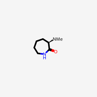 CN[C@@H]1CCCCNC1=O